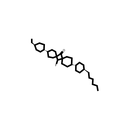 CCCCCC[C@H]1CC[C@H](C2CCC3(CC2)C(=O)C2(CCC([C@H]4CC[C@H](CC)CC4)CC2)C3F)CC1